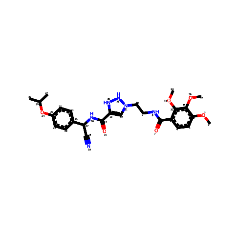 COc1ccc(C(=O)NCCN2C=C(C(=O)NC(C#N)c3ccc(OC(C)C)cc3)NN2)c(OC)c1OC